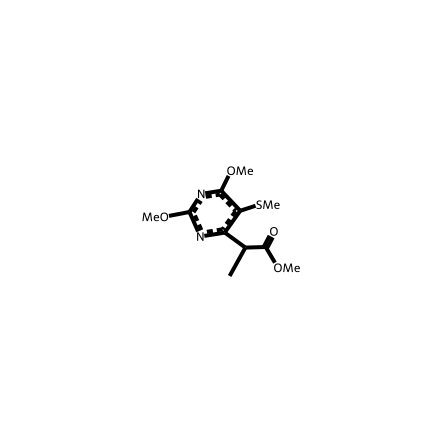 COC(=O)C(C)c1nc(OC)nc(OC)c1SC